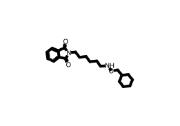 O=C1c2ccccc2C(=O)N1CCCCCCNOCC1CCCCC1